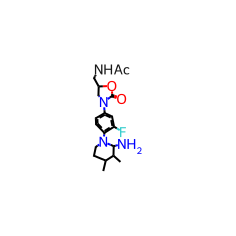 CC(=O)NCC1CN(c2ccc(N3CCC(C)C(C)C3N)c(F)c2)C(=O)O1